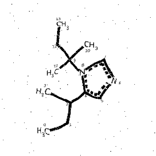 CCC(C)c1cncn1C(C)(C)CC